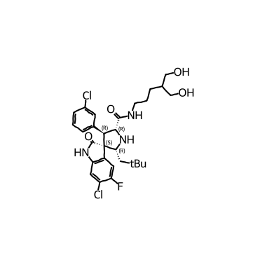 CC(C)(C)C[C@H]1N[C@@H](C(=O)NCCCC(CO)CO)[C@H](c2cccc(Cl)c2)[C@@]12C(=O)Nc1cc(Cl)c(F)cc12